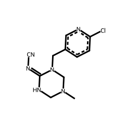 CN1CNC(=NC#N)N(Cc2ccc(Cl)nc2)C1